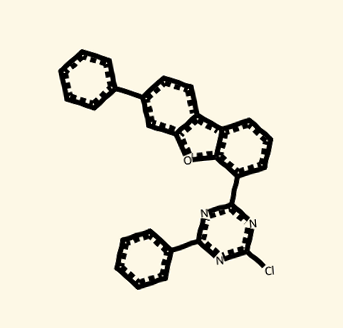 Clc1nc(-c2ccccc2)nc(-c2cccc3c2oc2cc(-c4ccccc4)ccc23)n1